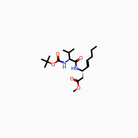 CCC/C=C/[C@H](CC(=O)OC)NC(=O)[C@@H](NC(=O)OC(C)(C)C)C(C)C